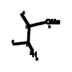 [2H]C(C)C(C)OC